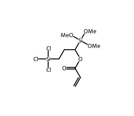 C=CC(=O)OC(CC[Si](Cl)(Cl)Cl)[Si](OC)(OC)OC